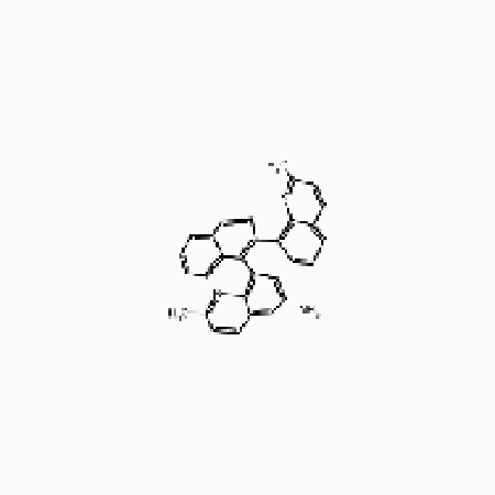 Cc1ccc2cccc(-c3ccc4ccccc4c3-c3cccc4ccc(C)nc34)c2n1.[AlH3]